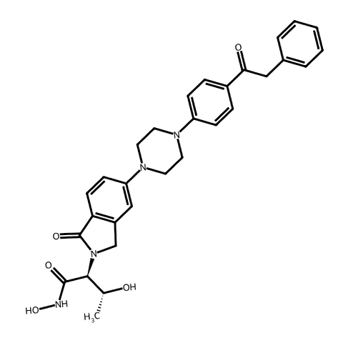 C[C@@H](O)[C@@H](C(=O)NO)N1Cc2cc(N3CCN(c4ccc(C(=O)Cc5ccccc5)cc4)CC3)ccc2C1=O